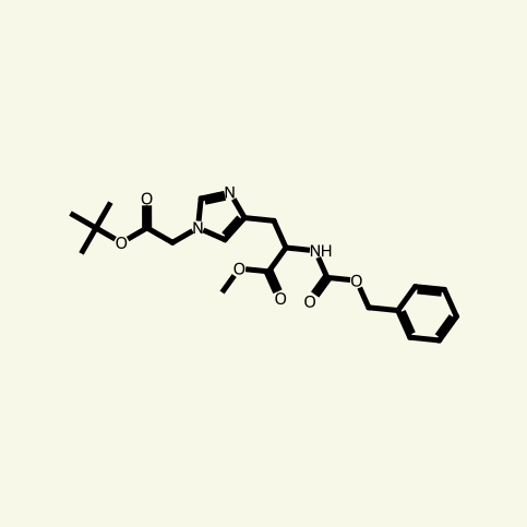 COC(=O)C(Cc1cn(CC(=O)OC(C)(C)C)cn1)NC(=O)OCc1ccccc1